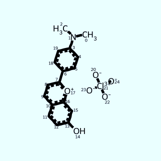 CN(C)c1ccc(-c2ccc3ccc(O)cc3[o+]2)cc1.[O-][Cl+3]([O-])([O-])[O-]